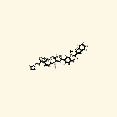 CN(CCN1CCC1)c1ccc(Nc2cc(-c3ccc(F)c(NC(=O)c4cc5ccccc5s4)c3)n[nH]c2=O)nc1